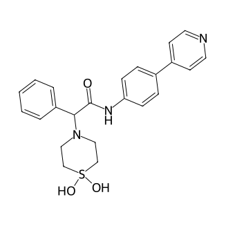 O=C(Nc1ccc(-c2ccncc2)cc1)C(c1ccccc1)N1CCS(O)(O)CC1